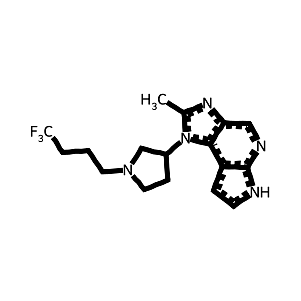 Cc1nc2cnc3[nH]ccc3c2n1C1CCN(CCCC(F)(F)F)C1